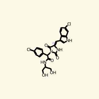 O=C(NC(CO)CO)C(c1ccc(Cl)cc1)N1C(=O)N/C(=C\c2c[nH]c3cc(Cl)ccc23)C1=O